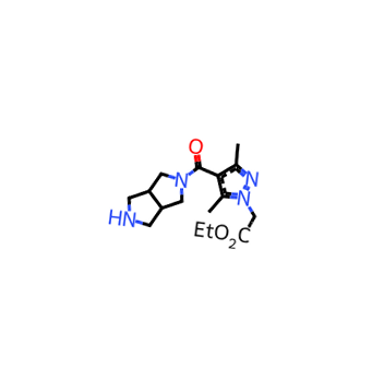 CCOC(=O)Cn1nc(C)c(C(=O)N2CC3CNCC3C2)c1C